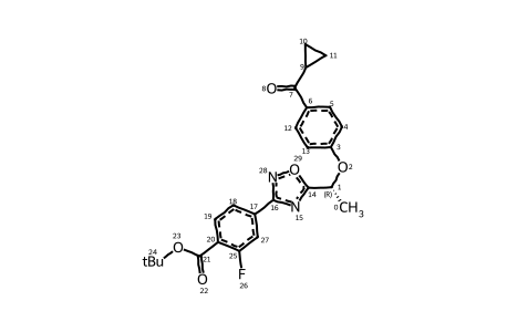 C[C@@H](Oc1ccc(C(=O)C2CC2)cc1)c1nc(-c2ccc(C(=O)OC(C)(C)C)c(F)c2)no1